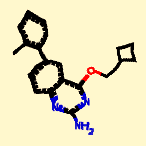 Cc1ccccc1-c1ccc2nc(N)nc(OCC3CCC3)c2c1